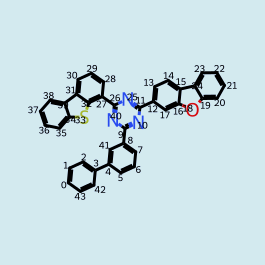 c1ccc(-c2cccc(-c3nc(-c4ccc5c(c4)oc4ccccc45)nc(-c4cccc5c4sc4ccccc45)n3)c2)cc1